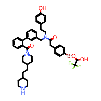 O=C(Cc1ccc(Br)cc1)N(CCc1ccc(O)cc1)Cc1cccc(-c2ccccc2C(=O)N2CCC(CCC3CCNCC3)CC2)c1.O=C(O)C(F)(F)F